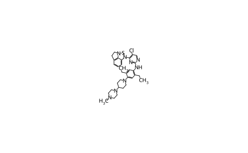 CCc1cc(N2CCC(N3CCN(C)CC3)CC2)c(CC)cc1Nc1ncc(Cl)c(N2SN3CCc4cccc2c43)n1